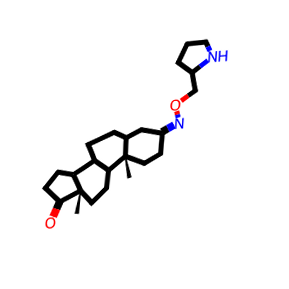 C[C@]12CC/C(=N/OCC3CCCN3)CC1CCC1C2CC[C@]2(C)C(=O)CCC12